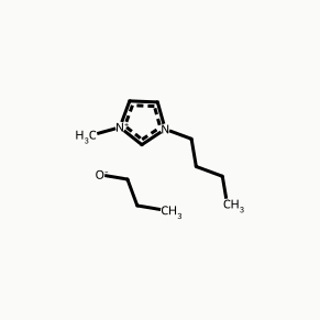 CCCCn1cc[n+](C)c1.CCC[O-]